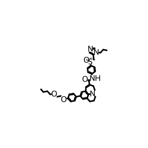 CCCCOCCOc1ccc(-c2cc3c4c(c2)CCCN4CCC(C(=O)Nc2ccc([S@@+]([O-])Cc4cncn4CCC)cc2)=C3)cc1